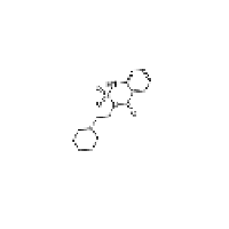 O=C1c2ccccc2NS(=O)(=O)N1CCN1CCCCC1